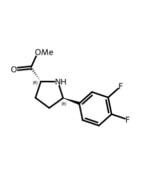 COC(=O)[C@H]1CC[C@H](c2ccc(F)c(F)c2)N1